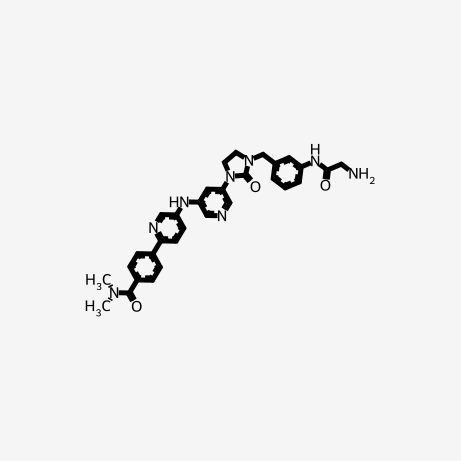 CN(C)C(=O)c1ccc(-c2ccc(Nc3cncc(N4CCN(Cc5cccc(NC(=O)CN)c5)C4=O)c3)cn2)cc1